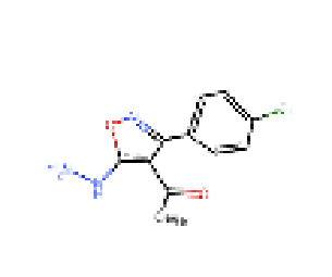 COC(=O)c1c(-c2ccc(Cl)cc2)noc1NN